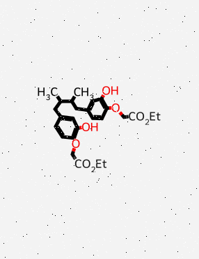 CCOC(=O)COc1ccc(CC(C)C(C)Cc2ccc(OCC(=O)OCC)c(O)c2)cc1O